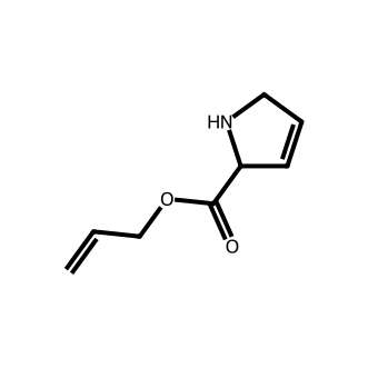 C=CCOC(=O)C1C=CCN1